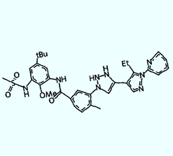 CCc1c(C2=CN(c3cc(C(=O)Nc4cc(C(C)(C)C)cc(NS(C)(=O)=O)c4OC)ccc3C)NN2)cnn1-c1ccccn1